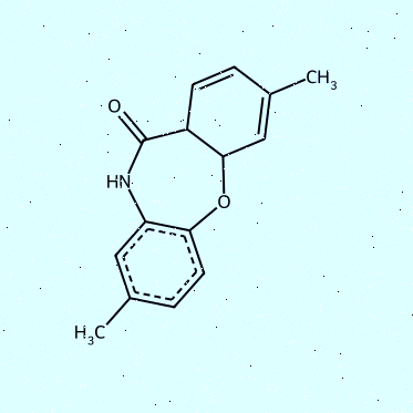 CC1=CC2Oc3ccc(C)cc3NC(=O)C2C=C1